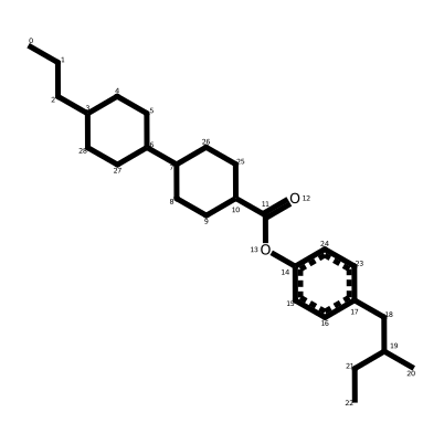 CCCC1CCC(C2CCC(C(=O)Oc3ccc(CC(C)CC)cc3)CC2)CC1